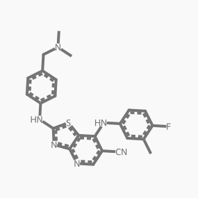 Cc1cc(Nc2c(C#N)cnc3nc(Nc4ccc(CN(C)C)cc4)sc23)ccc1F